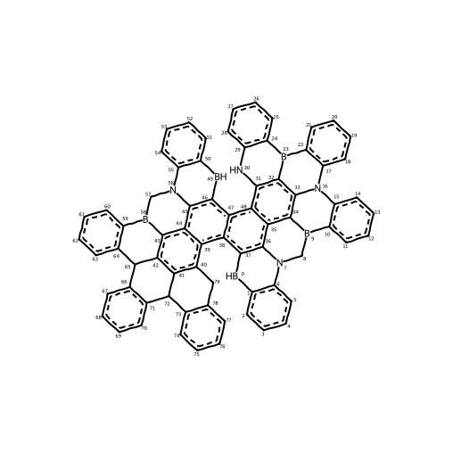 B1c2ccccc2N2CB3c4ccccc4N4c5ccccc5B5c6ccccc6Nc6c5c4c3c3c2c1c1c2c4c5c7c8c2c2c(c1c63)Bc1ccccc1N2CB8c1ccccc1C7c1ccccc1C5c1ccccc1C4